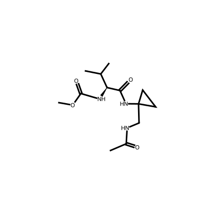 COC(=O)N[C@H](C(=O)NC1(CNC(C)=O)CC1)C(C)C